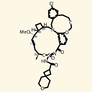 CO[C@H]1/C=C/C[C@H](C)CS(=O)(NC(=O)C2CC3(CCOCC3)C2)=NC(=O)c2ccc3c(c2)N(Cc2ccc(Cl)cc2CCCCO3)C[C@@H]2CC[C@H]21